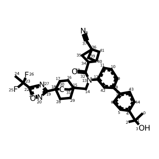 CC(C)(O)c1ccc(-c2cccc(N(CC34CCC(c5noc(C(C)(F)F)n5)(CC3)CC4)C(=O)C3CC4(C#N)CC3C4)c2)cc1